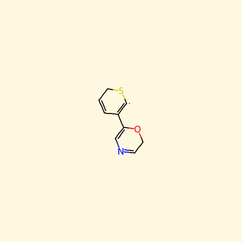 [C]1=C(C2=CN=CCO2)C=CCS1